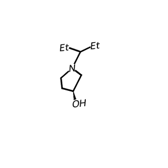 CCC(CC)N1CC[C@H](O)C1